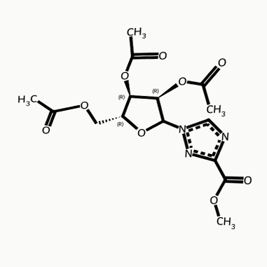 COC(=O)c1ncn(C2O[C@H](COC(C)=O)[C@@H](OC(C)=O)[C@H]2OC(C)=O)n1